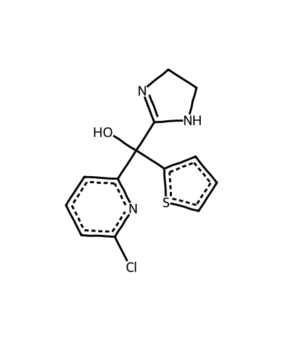 OC(C1=NCCN1)(c1cccc(Cl)n1)c1cccs1